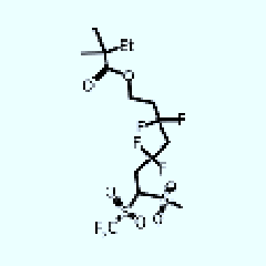 CCC(C)(C)C(=O)OCCC(F)(F)CC(F)(F)CC(S(C)(=O)=O)S(=O)(=O)C(F)(F)F